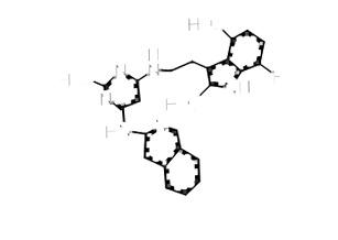 Cc1nc(NCCc2c(C)[nH]c3c(F)ccc(C)c23)cc(Nc2cc3ccccc3cn2)n1